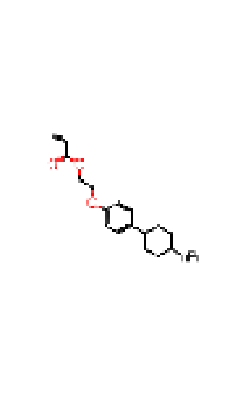 C=CC(=O)OCCOc1ccc(C2CCC(CCC)CC2)cc1